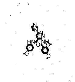 COc1ccc(CNc2nnc(-n3ccnc3)cc2C(=O)NC2CCC(OC)CC2)c(OC)c1